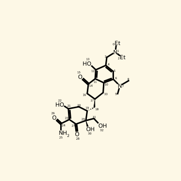 CCN(CC)Cc1cc(N(C)C)c2c(c1O)C(=O)C[C@H](C[C@H]1CC(O)=C(C(N)=O)C(=O)[C@@]1(O)CO)C2